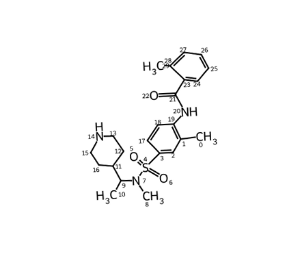 Cc1cc(S(=O)(=O)N(C)C(C)C2CCNCC2)ccc1NC(=O)c1ccccc1C